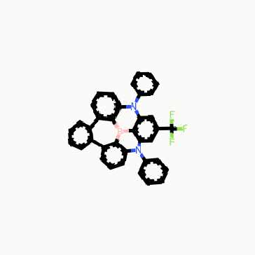 FC(F)(F)c1cc2c3c(c1)N(c1ccccc1)c1cccc4c1B3c1c(cccc1N2c1ccccc1)-c1ccccc1-4